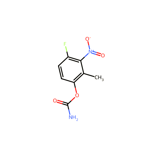 Cc1c(OC(N)=O)ccc(F)c1[N+](=O)[O-]